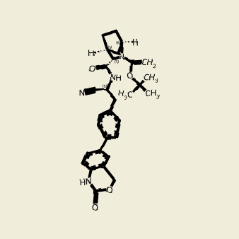 C=C(OC(C)(C)C)N1[C@@H]2CC[C@@H](C2)[C@H]1C(=O)N[C@H](C#N)Cc1ccc(-c2ccc3c(c2)COC(=O)N3)cc1